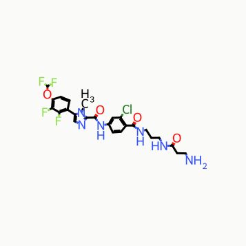 Cn1c(-c2ccc(OC(F)F)c(F)c2F)cnc1C(=O)Nc1ccc(C(=O)NCCCNC(=O)CCN)c(Cl)c1